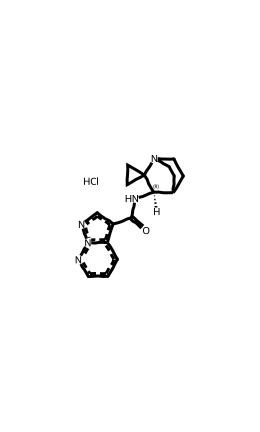 Cl.O=C(N[C@@H]1C2CCN(CC2)C12CC2)c1cnn2ncccc12